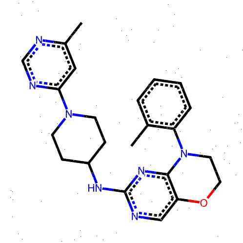 Cc1cc(N2CCC(Nc3ncc4c(n3)N(c3ccccc3C)CCO4)CC2)ncn1